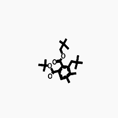 Cc1cc(C(=O)OC(C)(C)C)c(C(=O)OCC(C)(C)C)c(CC(C)(C)C)c1C